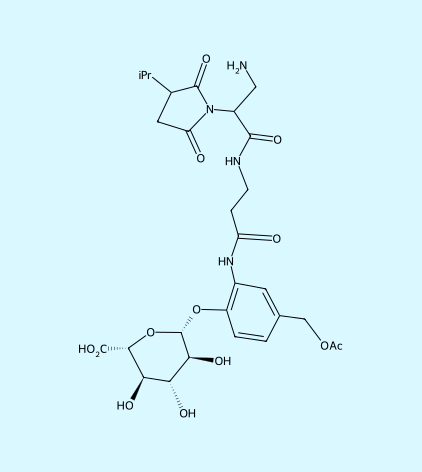 CC(=O)OCc1ccc(O[C@H]2O[C@@H](C(=O)O)[C@H](O)[C@@H](O)[C@@H]2O)c(NC(=O)CCNC(=O)C(CN)N2C(=O)CC(C(C)C)C2=O)c1